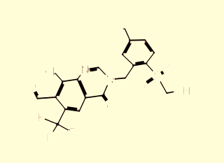 CCS(=O)(=O)c1ccc(Cl)cc1Cn1cnc2c(Cl)c(C=O)c(C(F)(F)F)cc2c1=O